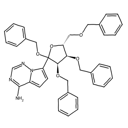 Nc1ncnn2c(C3(OCc4ccccc4)O[C@H](COCc4ccccc4)[C@@H](OCc4ccccc4)[C@H]3OCc3ccccc3)ccc12